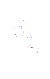 COCCN(CC(C)=O)C(=O)CN(CCOC)C(=O)CNCc1cn(CCC[C@]2(O)CCC3C4CCC5=CC(=O)CC[C@]5(C)C4CC[C@@]32C)nn1